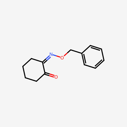 O=C1CCCCC1=NOCc1ccccc1